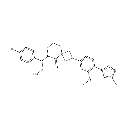 COc1cc(C2CC3(CCCN(C(CO)c4ccc(F)cc4)C3=O)C2)ccc1-n1cnc(C)c1